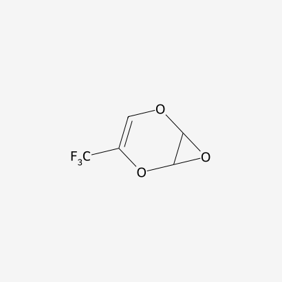 FC(F)(F)C1=COC2OC2O1